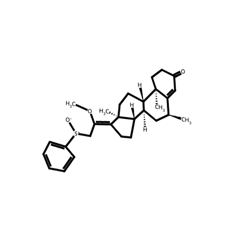 CO/C(C[S+]([O-])c1ccccc1)=C1/CC[C@H]2[C@@H]3C[C@H](C)C4=CC(=O)CC[C@]4(C)[C@H]3CC[C@]12C